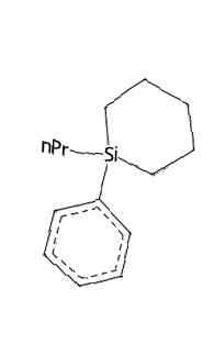 CCC[Si]1(c2ccccc2)CCCCC1